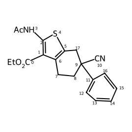 CCOC(=O)c1c(NC(C)=O)sc2c1CCC(C#N)(c1ccccc1)C2